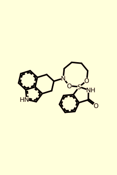 O=C1NS2(OCCCCN(C3Cc4cccc5[nH]cc(c45)C3)O2)c2ccccc21